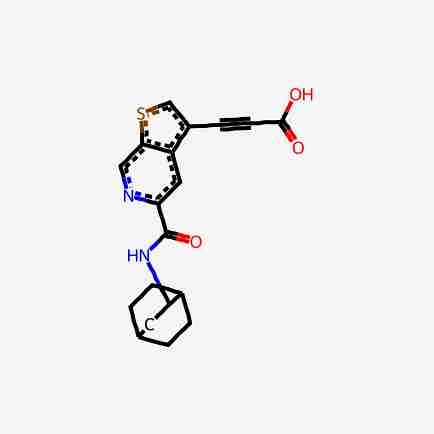 O=C(O)C#Cc1csc2cnc(C(=O)NC3CC4CCC3CC4)cc12